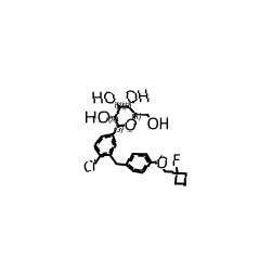 OC[C@H]1O[C@@H](c2ccc(Cl)c(Cc3ccc(OCC4(F)CCC4)cc3)c2)[C@H](O)[C@@H](O)[C@@H]1O